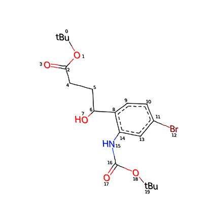 CC(C)(C)OC(=O)CCC(O)c1ccc(Br)cc1NC(=O)OC(C)(C)C